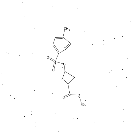 Cc1ccc(S(=O)(=O)OC2CC(C(=O)OC(C)(C)C)C2)cc1